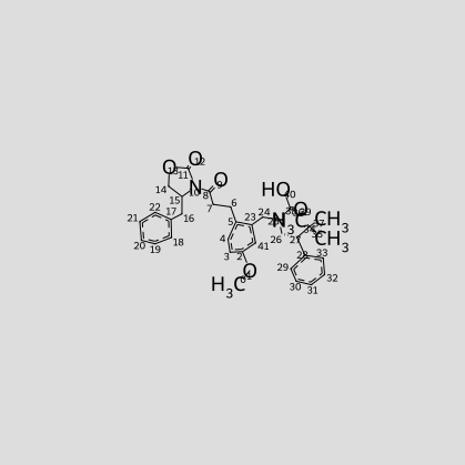 COc1ccc(CCC(=O)N2C(=O)OCC2Cc2ccccc2)c(CN(C[C@@H](c2ccccc2)C(C)(C)C)C(=O)O)c1